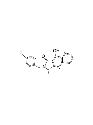 CC1c2nc3cccnc3c(O)c2C(=O)N1Cc1ccc(F)cc1